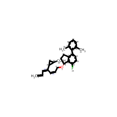 C=C/C=C(\C=C/CO[C@@H]1CCc2c(-c3c(C)cccc3C)ccc(F)c21)C1CC1C(=O)O